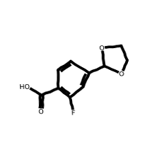 O=C(O)c1ccc(C2OCCO2)cc1F